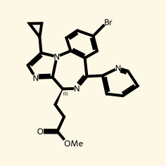 COC(=O)CC[C@@H]1N=C(c2ccccn2)c2cc(Br)ccc2-n2c(C3CC3)cnc21